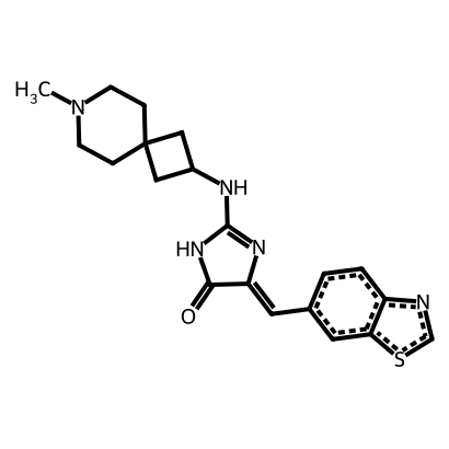 CN1CCC2(CC1)CC(NC1=N/C(=C\c3ccc4ncsc4c3)C(=O)N1)C2